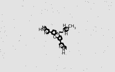 CN1C[C@H]2C[C@@H]1CN2CCN1c2ccc(-c3cnc4[nH]ncc4c3)cc2Oc2cc(-c3cnc4[nH]ncc4c3)ccc21